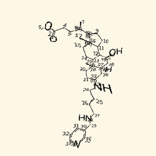 COC(=O)CC[C@@H](C)[C@H]1CCC2C3C(CC[C@@]21C)[C@@]1(C)CC[C@@H](NCCCCNCc2cccnc2)C[C@@H]1C[C@@H]3O